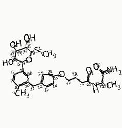 CS[C@H]1O[C@@H](c2ccc(C)c(Cc3ccc(OCCCC(=O)N[C@@H](C)C(N)=O)cc3)c2)[C@H](O)[C@@H](O)[C@@H]1O